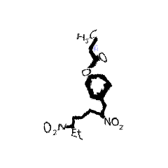 C/C=C/C(=O)Oc1ccc(CC(CCCC(CC)[N+](=O)[O-])[N+](=O)[O-])cc1